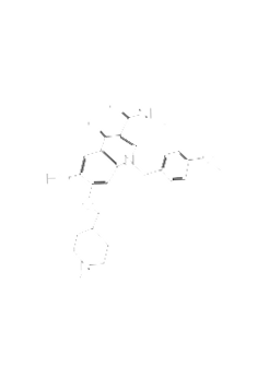 COc1ccc(Cn2cc(C(N)=O)c(=O)c3cc(O)c(OCC4CCN(C)CC4)cc32)cc1